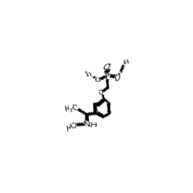 CCOP(=O)(COc1cccc(C(C)NO)c1)OCC